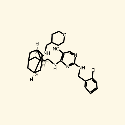 N#Cc1cnc(NCc2ccccc2Cl)nc1NC[C@]12CC3C[C@H](C1)[C@@H](NCC1CCOCC1)[C@@H](C3)C2